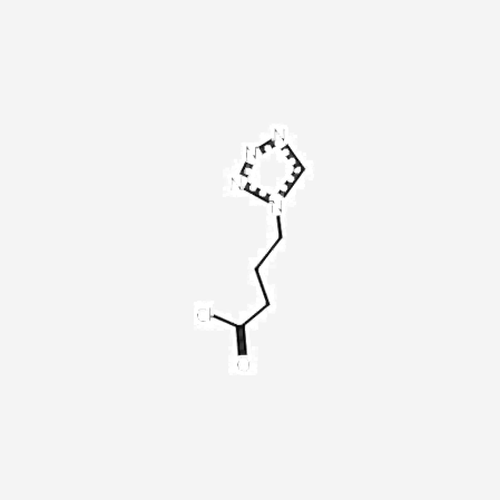 O=C(Cl)CCCn1cnnn1